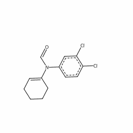 O=CN(C1=CCCCC1)c1ccc(Cl)c(Cl)c1